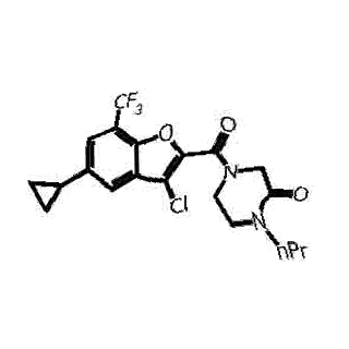 CCCN1CCN(C(=O)c2oc3c(C(F)(F)F)cc(C4CC4)cc3c2Cl)CC1=O